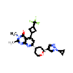 Cc1nc2nc([C@H]3CCO[C@H](c4cnn(C5CC5)c4)C3)cc(C3CC(C(F)(F)F)C3)c2c(=O)n1C